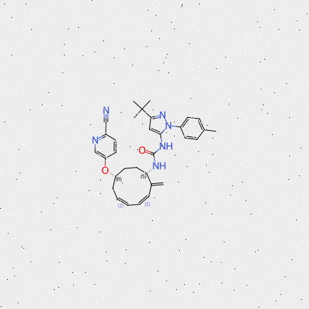 C=C1/C=C\C=C/C[C@H](Oc2ccc(C#N)nc2)CC[C@@H]1NC(=O)Nc1cc(C(C)(C)C)nn1-c1ccc(C)cc1